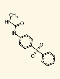 CNC(=O)Nc1ccc(S(=O)(=O)c2ccccc2)cc1